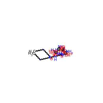 CCCCCCCC/C=C\CCCCCCCCN(CCCCCCCC/C=C\CCCCCCCC)C(=O)CCC(=O)NCCCC[C@H](N)C(=O)NCC1O[C@H](OC2C(O)[C@H](OC3C(O)[C@H](N)CC(N)[C@H]3O[C@H]3OC(CO)[C@@H](O)C(O)C3N)O[C@@H]2CO)C(N)C(O)[C@@H]1O